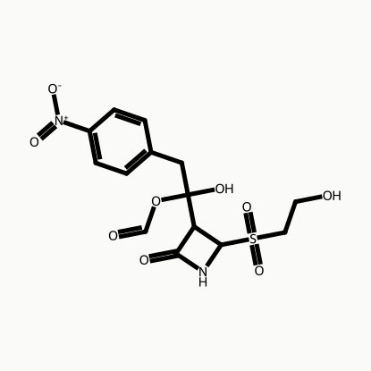 O=COC(O)(Cc1ccc([N+](=O)[O-])cc1)C1C(=O)NC1S(=O)(=O)CCO